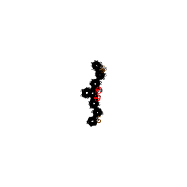 c1ccc2c(c1)sc1ccc(-c3ccc4c(c3)oc3c5oc6cc(-c7ccc8sc9ccccc9c8c7)ccc6c5c5ccccc5c43)cc12